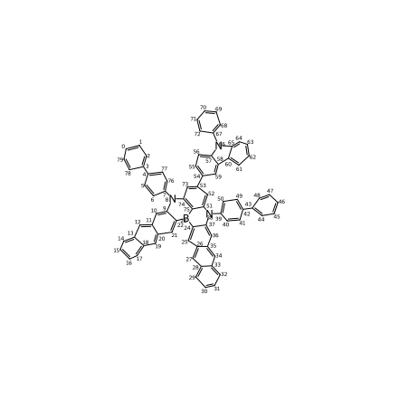 c1ccc(-c2ccc(N3c4cc5cc6ccccc6cc5cc4B4c5cc6cc7ccccc7cc6cc5N(c5ccc(-c6ccccc6)cc5)c5cc(-c6ccc7c(c6)c6ccccc6n7-c6ccccc6)cc3c54)cc2)cc1